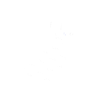 CCn1c2ccccc2c2cc3c4ccc(-c5ccccc5-c5ccccc5)cc4c4ccccc4c3cc21